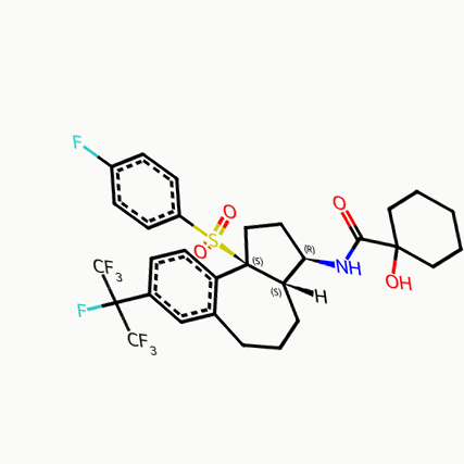 O=C(N[C@@H]1CC[C@@]2(S(=O)(=O)c3ccc(F)cc3)c3ccc(C(F)(C(F)(F)F)C(F)(F)F)cc3CCC[C@@H]12)C1(O)CCCCC1